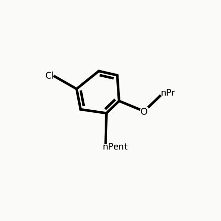 CCCCCc1cc(Cl)ccc1OCCC